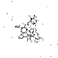 CCC(C)C(C(CC(=O)N1CCCC1C(OC)C(C)C(=O)NC(Cc1ccccc1)c1nccs1)OC)N(C)C(=O)CNC(=O)C(C(C)C)N(C)C(=O)CCCCCON